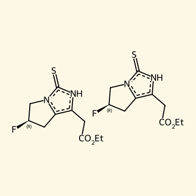 CCOC(=O)Cc1[nH]c(=S)n2c1C[C@@H](F)C2.CCOC(=O)Cc1[nH]c(=S)n2c1C[C@@H](F)C2